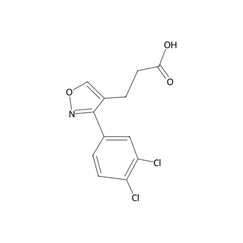 O=C(O)CCc1conc1-c1ccc(Cl)c(Cl)c1